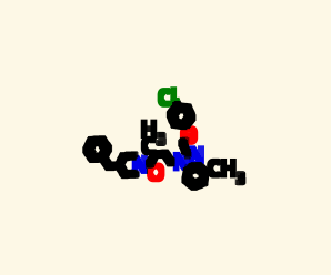 Cc1cccc2c1nc(COc1ccc(Cl)cc1)n2CCC(C)C(=O)N1CCC(Cc2ccccc2)CC1